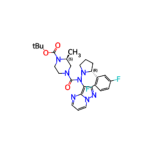 C[C@H]1CN(C(=O)N(c2cnn3cccnc23)N2CCC[C@@H]2c2cc(F)ccc2F)CCN1C(=O)OC(C)(C)C